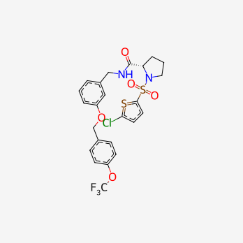 O=C(NCc1cccc(OCc2ccc(OC(F)(F)F)cc2)c1)[C@@H]1CCCN1S(=O)(=O)c1ccc(Cl)s1